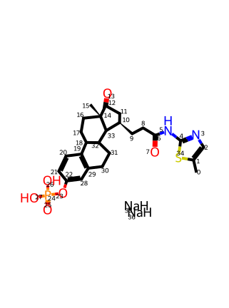 Cc1cnc(NC(=O)CC[C@@H]2CC(=O)[C@@]3(C)CCC4c5ccc(OP(=O)(O)O)cc5CCC4C23)s1.[NaH].[NaH]